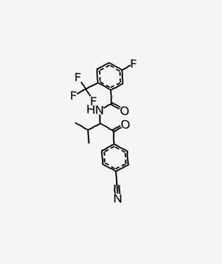 CC(C)C(NC(=O)c1cc(F)ccc1C(F)(F)F)C(=O)c1ccc(C#N)cc1